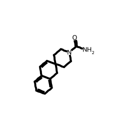 NC(=O)N1CCC2(C=Cc3ccccc3C2)CC1